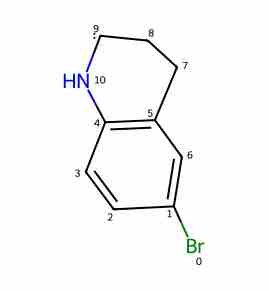 Brc1ccc2c(c1)CC[C]N2